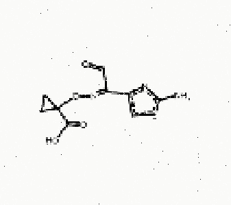 Nc1nc(C([C]=O)=NOC2(C(=O)O)CC2)cs1